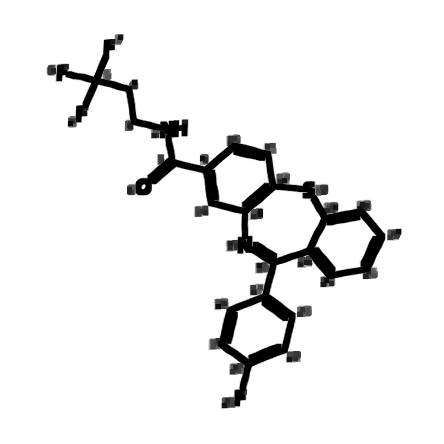 O=C(NCCC(F)(F)F)c1ccc2c(c1)N=C(c1ccc(F)cc1)c1ccccc1S2